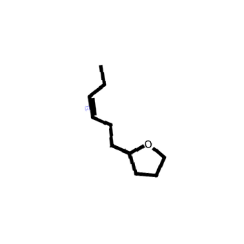 CC/C=C\CCC1CCCO1